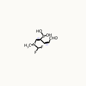 CN(/C=C(\C=C/C=O)B(O)O)C(F)F